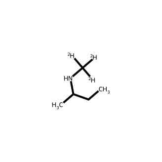 [2H]C([2H])([2H])NC(C)CC